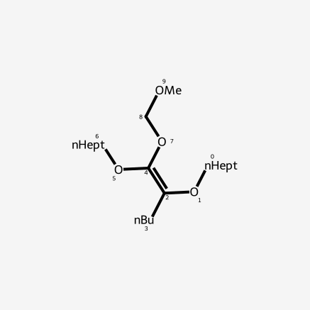 CCCCCCCOC(CCCC)=C(OCCCCCCC)OCOC